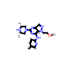 CCOCCn1ncc2nc(N3C[C@@H](C)N[C@@H](C)C3)nc(Nc3ccc(C)cn3)c21